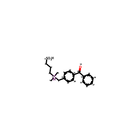 C[PH](C)(CCCS(=O)(=O)O)Cc1ccc(C(=O)c2ccccc2)cc1